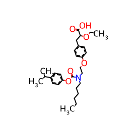 CCCCCCN(CCOc1ccc(CC(OCC)C(=O)O)cc1)C(=O)Oc1ccc(C(C)C)cc1